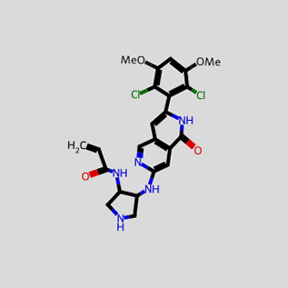 C=CC(=O)NC1CNCC1Nc1cc2c(=O)[nH]c(-c3c(Cl)c(OC)cc(OC)c3Cl)cc2cn1